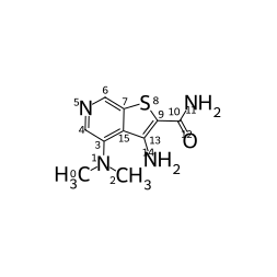 CN(C)c1cncc2sc(C(N)=O)c(N)c12